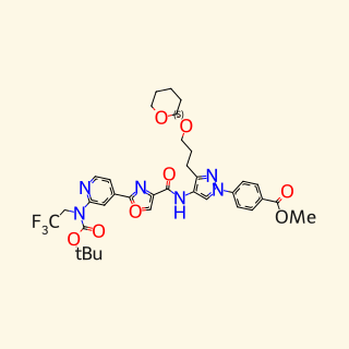 COC(=O)c1ccc(-n2cc(NC(=O)c3coc(-c4ccnc(N(CC(F)(F)F)C(=O)OC(C)(C)C)c4)n3)c(CCCO[C@H]3CCCCO3)n2)cc1